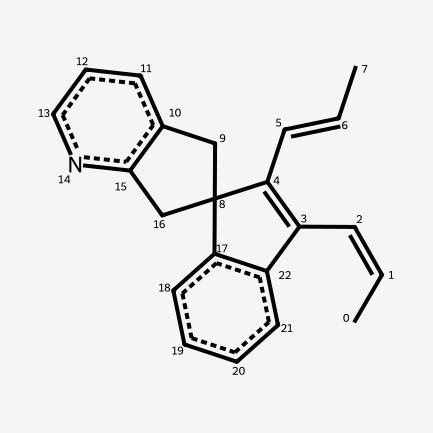 C/C=C\C1=C(/C=C/C)C2(Cc3cccnc3C2)c2ccccc21